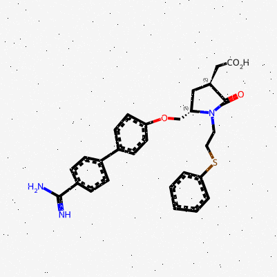 N=C(N)c1ccc(-c2ccc(OC[C@@H]3C[C@@H](CC(=O)O)C(=O)N3CCSc3ccccc3)cc2)cc1